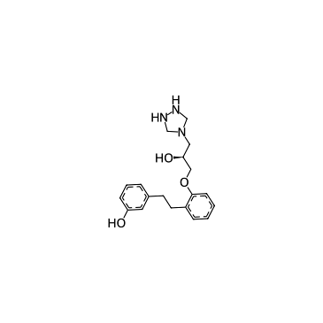 Oc1cccc(CCc2ccccc2OC[C@@H](O)CN2CNNC2)c1